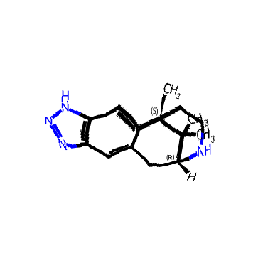 CC1(C)[C@H]2Cc3cc4nn[nH]c4cc3[C@]1(C)CCN2